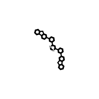 c1cc(-c2ccc3c(c2)Cc2ccccc2-3)cc(-c2cc(-c3cccc(-c4ccc5c(c4)Cc4ccccc4-5)c3)ncn2)c1